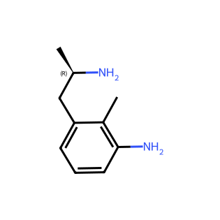 Cc1c(N)cccc1C[C@@H](C)N